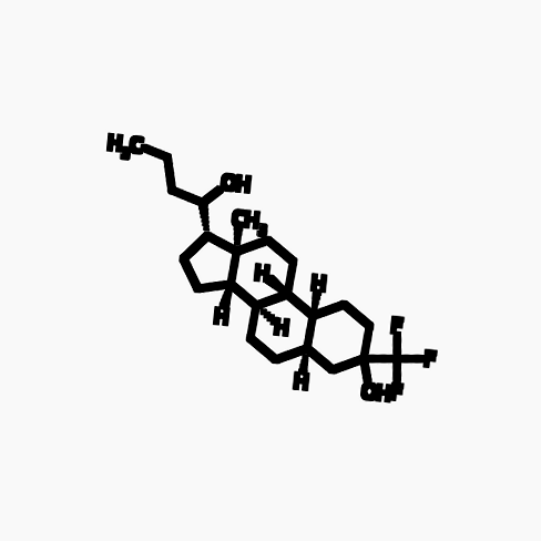 CCCC(O)[C@H]1CC[C@H]2[C@@H]3CC[C@@H]4CC(O)(C(F)(F)F)CC[C@@H]4[C@H]3CC[C@]12C